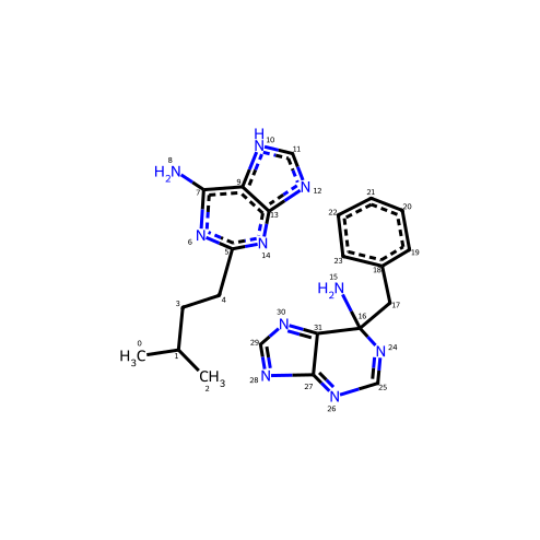 CC(C)CCc1nc(N)c2[nH]cnc2n1.NC1(Cc2ccccc2)N=CN=C2N=CN=C21